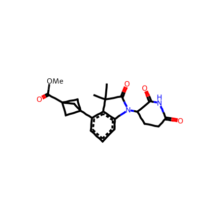 COC(=O)C12CC(c3cccc4c3C(C)(C)C(=O)N4C3CCC(=O)NC3=O)(C1)C2